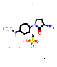 CCS(=O)(=O)C[C@@H]1CC(NC(=O)O)CC[C@@H]1N1CCC(N)C1=O